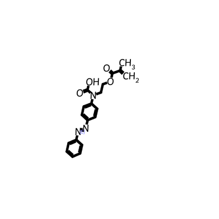 C=C(C)C(=O)OCCN(C(=O)O)c1ccc(/N=N/c2ccccc2)cc1